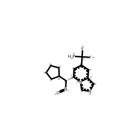 O=N[C@@H](c1cc(C(F)(F)P)cc2cncn12)C1CCCC1